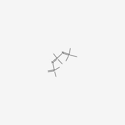 C=P(C)(C)N=P(C)(C)N=P(C)(C)C